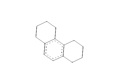 [c]1cc2c(c3c1CCCC3)CCCC2